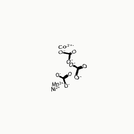 O=C([O-])[O-].O=C([O-])[O-].O=C([O-])[O-].[Co+2].[Mn+2].[Ni+2]